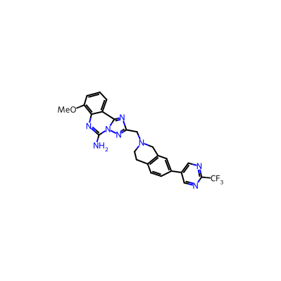 COc1cccc2c1nc(N)n1nc(CN3CCc4ccc(-c5cnc(C(F)(F)F)nc5)cc4C3)nc21